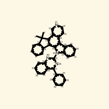 CC1(C)c2ccccc2-c2c1c1cnccc1c1c3ccccc3n(-c3nc(-c4ccccc4)c4ccccc4n3)c21